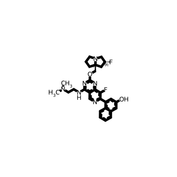 CN(C)CCNc1nc(OC[C@@]23CCCN2C[C@H](F)C3)nc2c(F)c(-c3cc(O)cc4ccccc34)ncc12